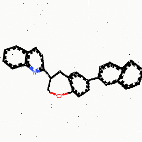 c1ccc2cc(-c3ccc4c(c3)CC(c3ccc5ccccc5n3)CO4)ccc2c1